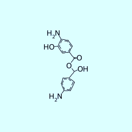 Nc1ccc(C(O)OC(=O)c2ccc(N)c(O)c2)cc1